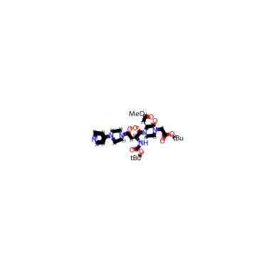 COC(=O)C[C@@H]1C(=O)N(CC(=O)OC(C)(C)C)CCN1C(=O)[C@H](CC(=O)N1CCN(c2ccncc2)CC1)NC(=O)OC(C)(C)C